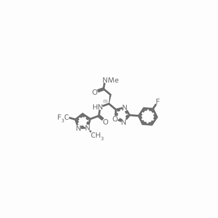 CNC(=O)C[C@H](NC(=O)c1cc(C(F)(F)F)nn1C)c1nc(-c2cccc(F)c2)no1